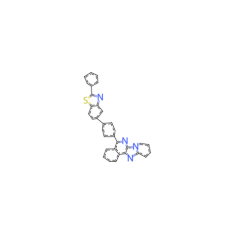 c1ccc(-c2nc3cc(-c4ccc(-c5nc6c(nc7ccccn76)c6ccccc56)cc4)ccc3s2)cc1